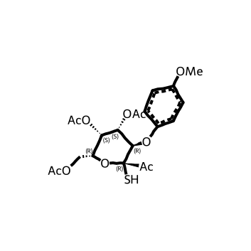 COc1ccc(O[C@@H]2[C@@H](OC(C)=O)[C@@H](OC(C)=O)[C@@H](COC(C)=O)O[C@]2(S)C(C)=O)cc1